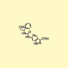 COCC(NC(=O)Nc1cc2[nH]nc(OC)c2cn1)c1ccccc1